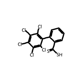 S=C(S)c1ccccc1-c1c(Cl)c(Cl)c(Cl)c(Cl)c1Cl